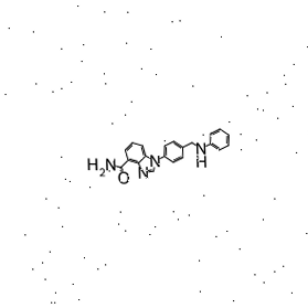 NC(=O)c1cccc2c1ncn2-c1ccc(CNc2ccccc2)cc1